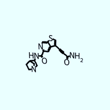 NC(=O)C#Cc1csc2cnc(C(=O)NC3CN4CCC3C4)cc12